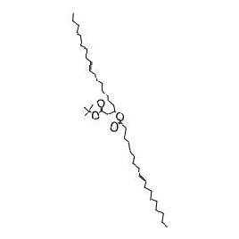 CCCCCCCCC=CCCCCCCCC(=O)OC(CCCCCCCC=CCCCCCCCC)CC(=O)OC(C)(C)C